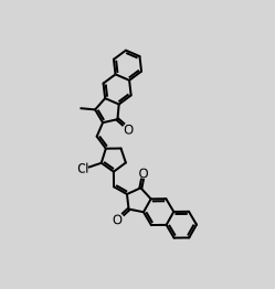 CC1=C(/C=C2\CCC(C=C3C(=O)c4cc5ccccc5cc4C3=O)=C2Cl)C(=O)c2cc3ccccc3cc21